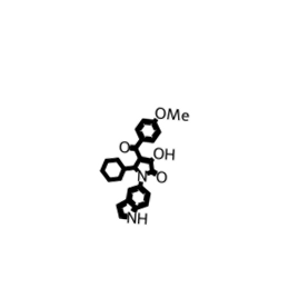 COc1ccc(C(=O)C2=C(O)C(=O)N(c3ccc4[nH]ccc4c3)C2C2CCCCC2)cc1